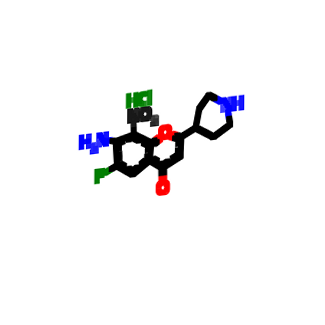 Cl.Nc1c(F)cc2c(=O)cc(C3CCNCC3)oc2c1[N+](=O)[O-]